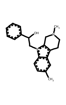 Cc1ccc2c(c1)c1c(n2CC(O)c2ccccc2)CN(C)CC1